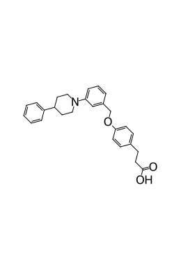 O=C(O)CCc1ccc(OCc2cccc(N3CCC(c4ccccc4)CC3)c2)cc1